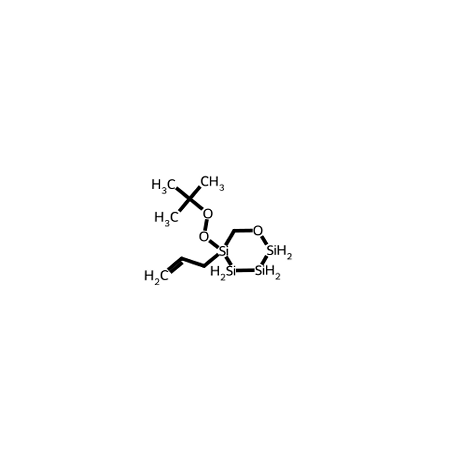 C=CC[Si]1(OOC(C)(C)C)CO[SiH2][SiH2][SiH2]1